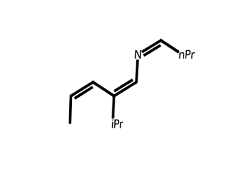 C\C=C/C(=C\N=C/CCC)C(C)C